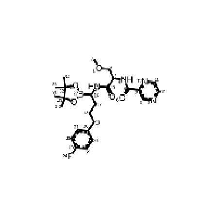 COCC(NC(=O)c1cnccn1)C(=O)NC(CCCc1ccc(F)cc1)B1OC(C)(C)C(C)(C)O1